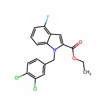 CCOC(=O)c1cc2c(F)cccc2n1Cc1ccc(Cl)c(Cl)c1